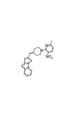 Cc1ccc([N+](=O)[O-])c(N2CCC(=Cc3cc4sc5ccccc5c4s3)CC2)n1